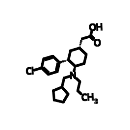 CCCN(CC1CCCC1)[C@@H]1CC[C@@H](CC(=O)O)C[C@H]1c1ccc(Cl)cc1